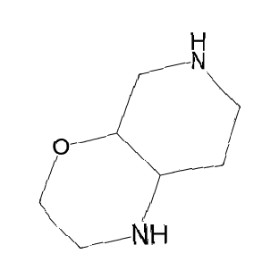 C1CC2NCCOC2CN1